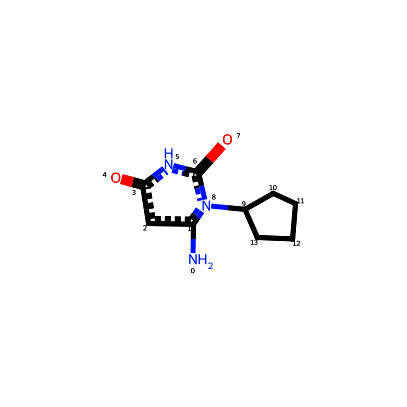 Nc1cc(=O)[nH]c(=O)n1C1CCCC1